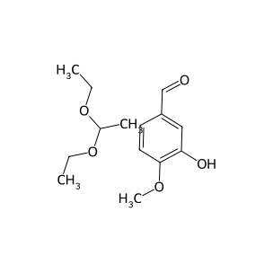 CCOC(C)OCC.COc1ccc(C=O)cc1O